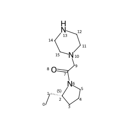 CC[C@H]1CCCN1C(=O)CN1CCNCC1